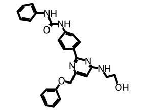 O=C(Nc1ccccc1)Nc1ccc(-c2nc(COc3ccccc3)cc(NCCO)n2)cc1